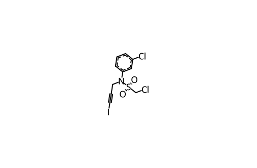 O=S(=O)(CCl)N(CC#CI)c1cccc(Cl)c1